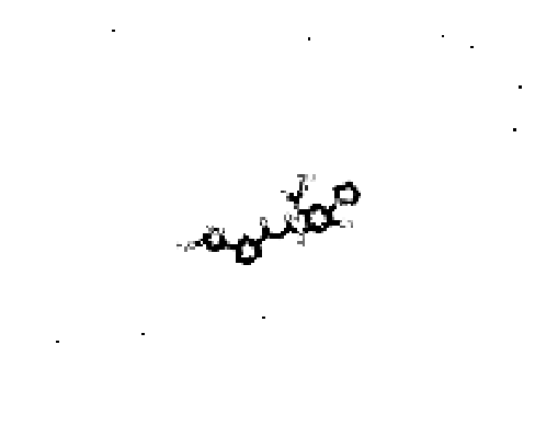 Cc1cc(-c2cccc(C(=O)CC(=O)Nc3cc(C#N)c(N4CCCC4)cc3NC(=O)OC(C)(C)C)c2)on1